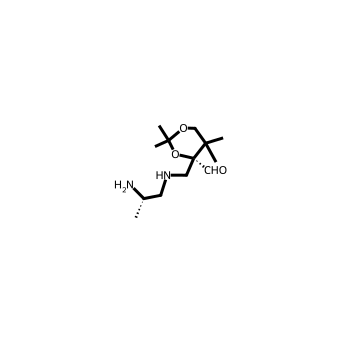 C[C@H](N)CNC[C@@]1(C=O)OC(C)(C)OCC1(C)C